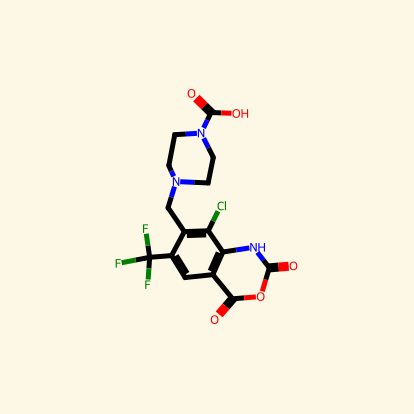 O=C(O)N1CCN(Cc2c(C(F)(F)F)cc3c(=O)oc(=O)[nH]c3c2Cl)CC1